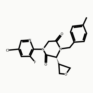 Cc1ccc(CN2C(=O)CN(c3ncc(Cl)cc3F)C(=O)[C@H]2C2COC2)cc1